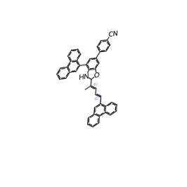 C/C(=C\C=C\c1cc2ccccc2c2ccccc12)C1Nc2c(cc(-c3ccc(C#N)cc3)cc2-c2cc3ccccc3c3ccccc23)O1